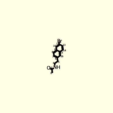 CC(=O)NCCc1ccc2cc(Br)ccc2c1